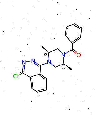 C[C@H]1CN(c2nnc(Cl)c3ccccc23)[C@@H](C)CN1C(=O)c1ccccc1